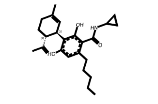 C=C(C)[C@@H]1CCC(C)=C[C@H]1c1c(O)cc(CCCCC)c(C(=O)NC2CC2)c1O